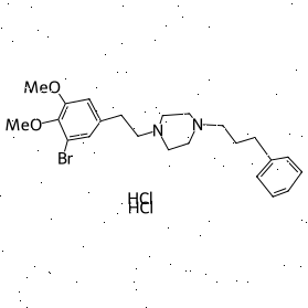 COc1cc(CCN2CCN(CCCc3ccccc3)CC2)cc(Br)c1OC.Cl.Cl